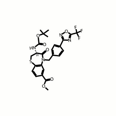 COC(=O)c1ccc2c(c1)N(Cc1ccc(-c3noc(C(F)(F)F)n3)cc1)C(=O)[C@@H](NC(=O)OC(C)(C)C)CS2